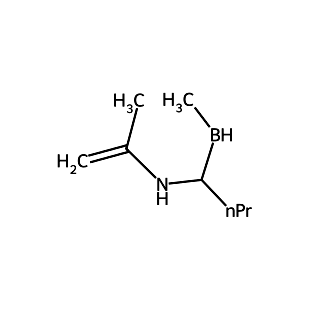 C=C(C)NC(BC)CCC